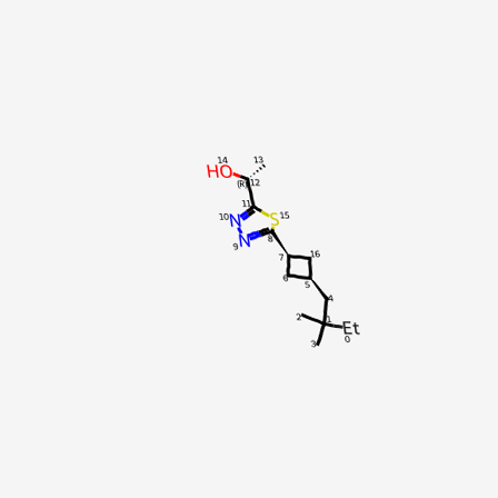 CCC(C)(C)C[C@H]1C[C@@H](c2nnc([C@@H](C)O)s2)C1